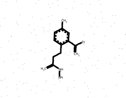 C=C(CCc1ccc(C)cc1C(=C)CC)NCCC